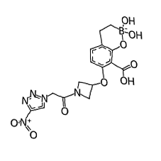 O=C(O)c1c(OC2CN(C(=O)Cn3cc([N+](=O)[O-])nn3)C2)ccc2c1O[B-](O)(O)CC2